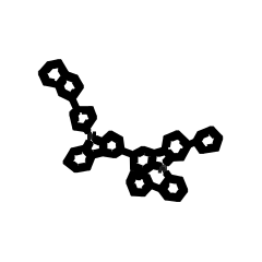 c1ccc(-c2ccc3c4cc(-c5ccc6c(c5)c5ccccc5n6-c5ccc(-c6ccc7ccccc7c6)cc5)ccc4n(-c4ccccc4-c4ccccc4)c3c2)cc1